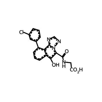 O=C(O)CNC(=O)c1c(O)c2cccc(-c3cccc(Cl)c3)c2c2ncnn12